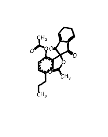 CCCc1ccc(OC(C)=O)c(C2(OC(C)=O)C(=O)C3=CCCC=C3C2=O)c1